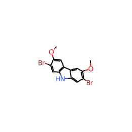 COc1cc2c(cc1Br)[nH]c1cc(Br)c(OC)cc12